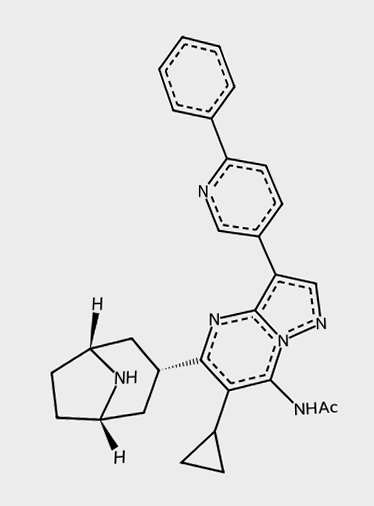 CC(=O)Nc1c(C2CC2)c([C@H]2C[C@H]3CC[C@@H](C2)N3)nc2c(-c3ccc(-c4ccccc4)nc3)cnn12